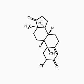 C[C@]12CC(Cl)C(=O)C=C1CC[C@@H]1[C@H]2CC[C@]2(C)C(=O)CC[C@@H]12